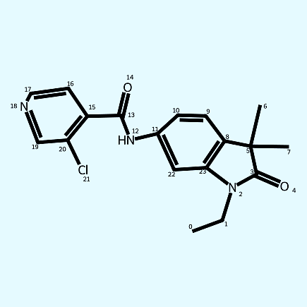 CCN1C(=O)C(C)(C)c2ccc(NC(=O)c3ccncc3Cl)cc21